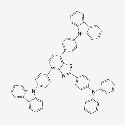 c1ccc(N(c2ccccc2)c2ccc(-c3nc4c(-c5ccc(-n6c7ccccc7c7ccccc76)cc5)ccc(-c5ccc(-n6c7ccccc7c7ccccc76)cc5)c4s3)cc2)cc1